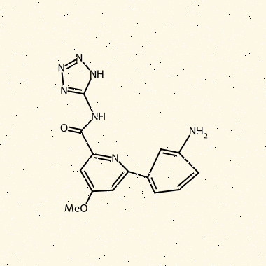 COc1cc(C(=O)Nc2nnn[nH]2)nc(-c2cccc(N)c2)c1